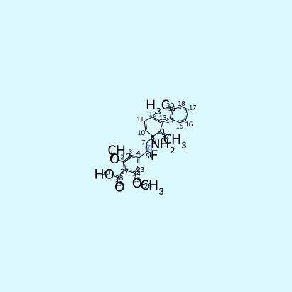 COc1cc(/C(F)=C/C2(N)C=CC=C(c3ccccc3C)C2C)cc(OC)c1C(=O)O